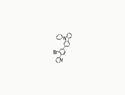 Brc1cc(-c2ccc3c4ccccc4n(-c4ccccc4)c3c2)ccc1-c1ccccn1